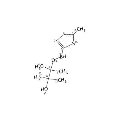 Cc1ccc(BOC(C)(C)C(C)(C)O)s1